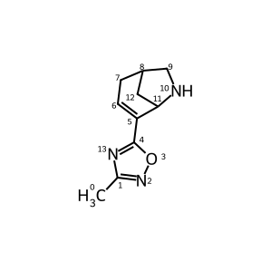 Cc1noc(C2=CCC3CNC2C3)n1